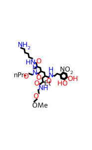 CCCOCCNC(=O)C(CC(C)C(=O)NCCCCCCN)CC(CC(CC)C(=O)NCCOCCOC)C(=O)NCCc1cc(O)c(O)cc1[N+](=O)[O-]